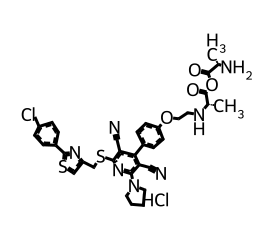 C[C@H](N)C(=O)OC(=O)[C@H](C)NCCOc1ccc(-c2c(C#N)c(SCc3csc(-c4ccc(Cl)cc4)n3)nc(N3CCCC3)c2C#N)cc1.Cl